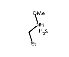 CCCNOC.S